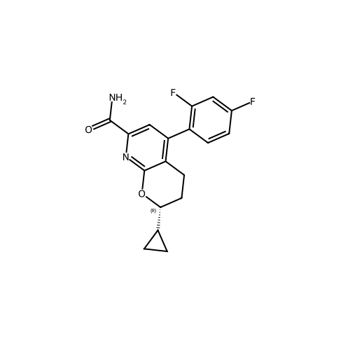 NC(=O)c1cc(-c2ccc(F)cc2F)c2c(n1)O[C@@H](C1CC1)CC2